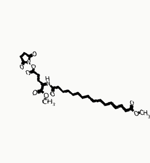 COC(=O)CCCCCCCCCCCCCCC(=O)NC(CCC(=O)ON1C(=O)CCC1=O)C(=O)OC